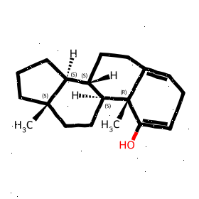 C[C@@]12CCC[C@H]1[C@@H]1CCC3=CCC=C(O)[C@]3(C)[C@H]1CC2